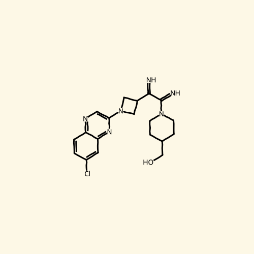 N=C(C(=N)N1CCC(CO)CC1)C1CN(c2cnc3ccc(Cl)cc3n2)C1